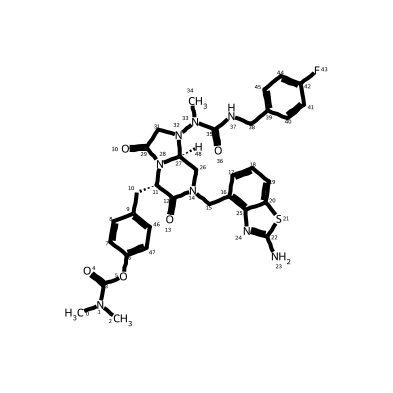 CN(C)C(=O)Oc1ccc(C[C@H]2C(=O)N(Cc3cccc4sc(N)nc34)C[C@H]3N2C(=O)CN3N(C)C(=O)NCc2ccc(F)cc2)cc1